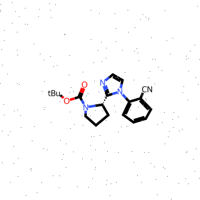 CC(C)(C)OC(=O)N1CCC[C@H]1c1nccn1-c1ccccc1C#N